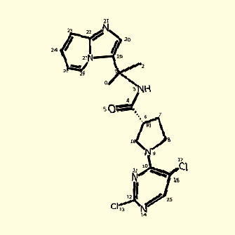 CC(C)(NC(=O)[C@@H]1CCN(c2nc(Cl)ncc2Cl)C1)c1cnc2ccccn12